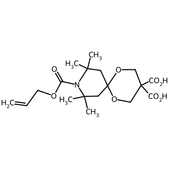 C=CCOC(=O)N1C(C)(C)CC2(CC1(C)C)OCC(C(=O)O)(C(=O)O)CO2